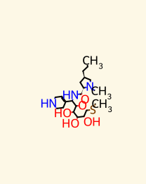 CCC[C@@H]1C[C@@H](C(=O)N[C@H](C2=CCNCC2)C2OC(SC)C(O)C(O)C2O)N(C)C1